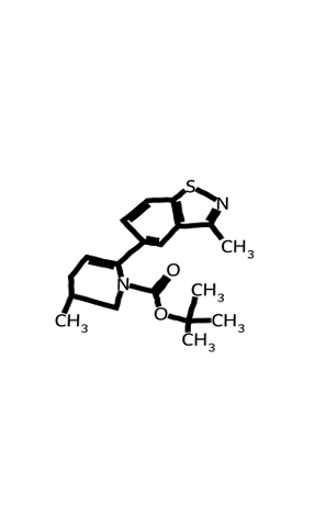 Cc1nsc2ccc(C3=CCC(C)CN3C(=O)OC(C)(C)C)cc12